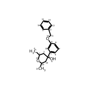 CC1CC(O)(c2cccc(OCc3ccccc3)c2)CC(C)O1